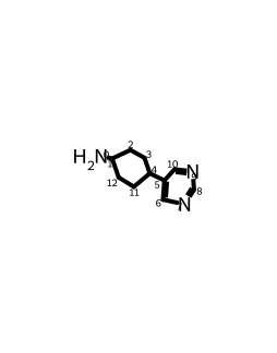 NC1CCC(c2cncnc2)CC1